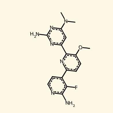 COc1ccc(-c2ccnc(N)c2F)nc1-c1cc(N(C)C)nc(N)n1